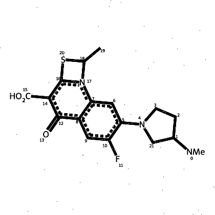 CNC1CCN(c2cc3c(cc2F)c(=O)c(C(=O)O)c2n3C(C)S2)C1